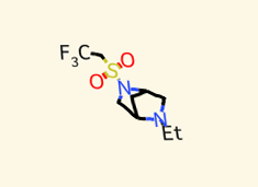 CCN1CC2CC1CN2S(=O)(=O)CC(F)(F)F